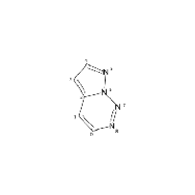 [c]1cc2ccnn2nn1